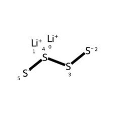 [Li+].[Li+].[S-]SS[S-]